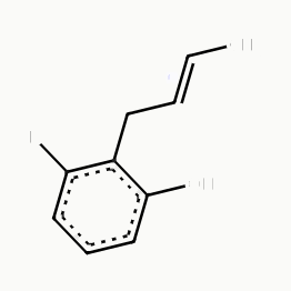 C/C=C/Cc1c(O)cccc1F